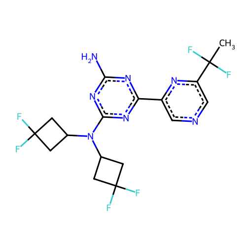 CC(F)(F)c1cncc(-c2nc(N)nc(N(C3CC(F)(F)C3)C3CC(F)(F)C3)n2)n1